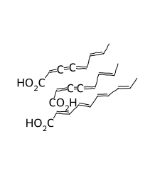 CC=CC=C=C=CC(=O)O.CC=CC=C=C=CC(=O)O.CC=CC=CC=CC=CC(=O)O